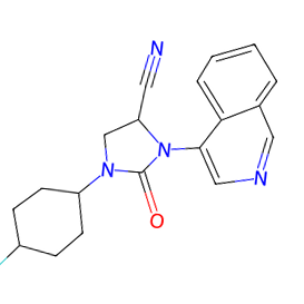 N#CC1CN(C2CCC(F)CC2)C(=O)N1c1cncc2ccccc12